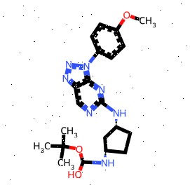 COc1ccc(-n2nnc3cnc(N[C@@H]4CC[C@H](NC(O)OC(C)(C)C)C4)nc32)cc1